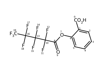 O=C(O)c1ccccc1OC(=O)C(F)(F)C(F)(F)C(F)(F)C(F)(F)F